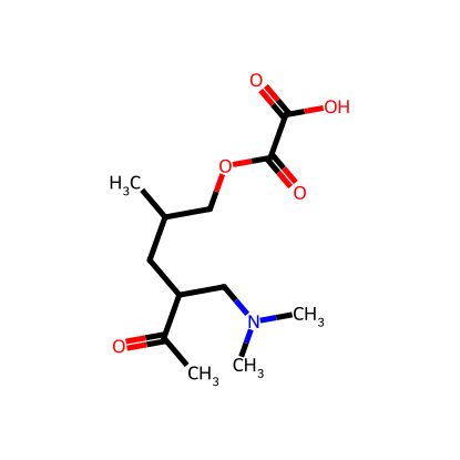 CC(=O)C(CC(C)COC(=O)C(=O)O)CN(C)C